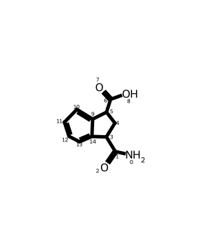 NC(=O)C1CC(C(=O)O)c2ccccc21